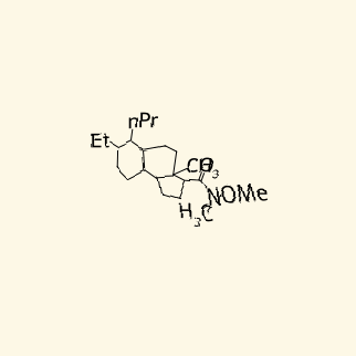 CCCC1C(CC)CCC2C1CCC1(C)C(C(=O)N(C)OC)CCC21